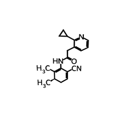 CC1=C(NC(=O)Cc2cccnc2C2CC2)C(C#N)=CC[C@H]1C